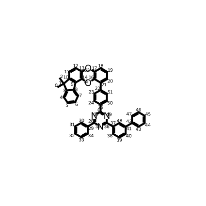 CC1(C)c2ccccc2-c2c1ccc1c2Oc2c(cccc2-c2ccc(-c3nc(-c4ccccc4)nc(-c4cccc(-c5ccccc5)c4)n3)cc2)O1